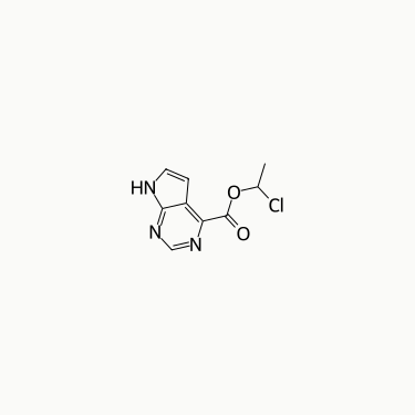 CC(Cl)OC(=O)c1ncnc2[nH]ccc12